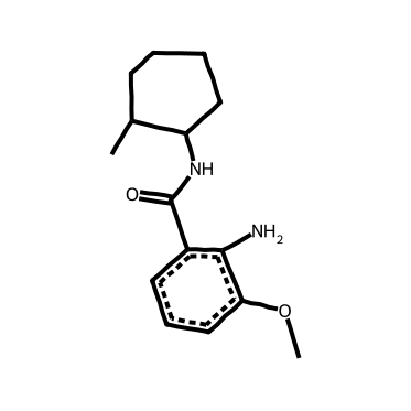 COc1cccc(C(=O)NC2CCCCC2C)c1N